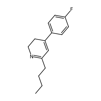 CCCCC1=NCCC(c2ccc(F)cc2)=C1